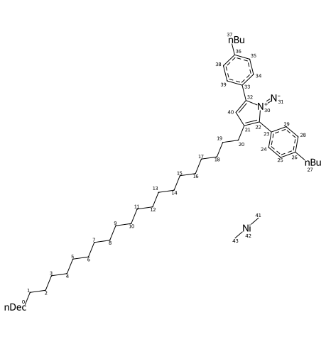 CCCCCCCCCCCCCCCCCCCCCCCCCCCCCCC1=C(c2ccc(CCCC)cc2)[N+](=[N-])C(c2ccc(CCCC)cc2)=C1.[CH3][Ni][CH3]